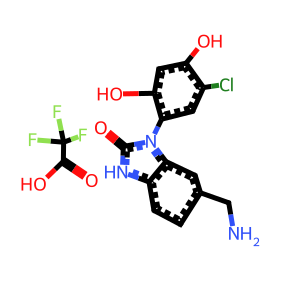 NCc1ccc2[nH]c(=O)n(-c3cc(Cl)c(O)cc3O)c2c1.O=C(O)C(F)(F)F